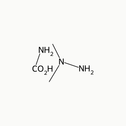 CN(C)N.NC(=O)O